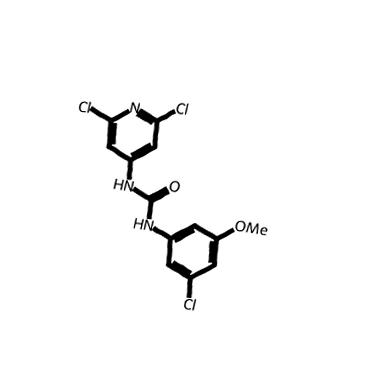 COc1cc(Cl)cc(NC(=O)Nc2cc(Cl)nc(Cl)c2)c1